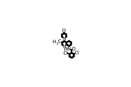 Cc1cnc2c(NC(=O)c3c(Cl)cccc3Cl)cccc2c1-n1ccc(=O)cc1